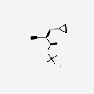 CC(C)(C)OC(=O)/C(C#N)=C\C1CC1